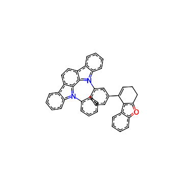 C1=C(c2cccc(-n3c4ccccc4c4ccc5c6ccccc6n(-c6ccccc6)c5c43)c2)c2c(oc3ccccc23)CC1